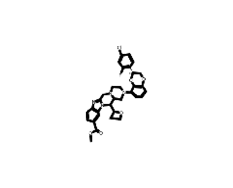 COC(=O)c1ccc2nc3n(c2c1)C(C1CCO1)C1CN(c2cccc4c2O[C@H](c2ccc(Cl)cc2F)CO4)CCN1C3